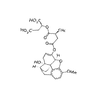 COc1ccc2c3c1O[C@@H]1C(OC(=O)C[C@H](OC(C)=O)C(=O)O[C@@H](CC(=O)O)C(=O)O)=CC[C@]4(O)[C@@H](CCC[C@@]314)C2